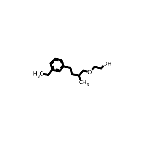 CCc1cccc(CCC(C)COCCO)c1